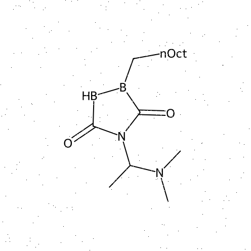 CCCCCCCCCB1BC(=O)N(C(C)N(C)C)C1=O